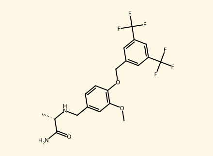 COc1cc(CN[C@@H](C)C(N)=O)ccc1OCc1cc(C(F)(F)F)cc(C(F)(F)F)c1